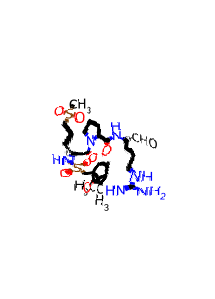 CC1(C)C2CCC1(CS(=O)(=O)N[C@@H](CCCS(C)(=O)=O)C(=O)N1CCCC1C(=O)N[C@H](C=O)CCCNC(=N)N)C(=O)C2